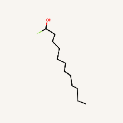 CCCCCCCCCCCC(O)F